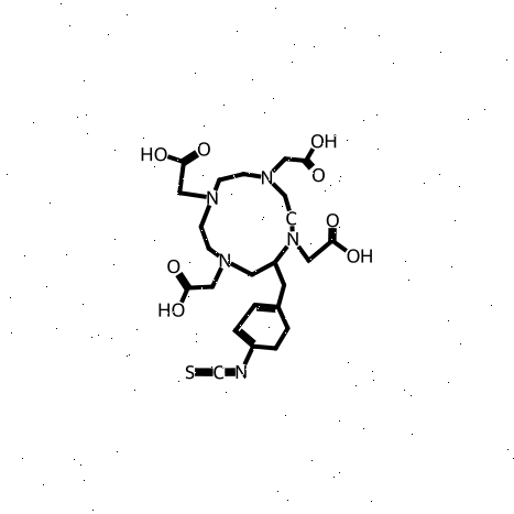 O=C(O)CN1CCN(CC(=O)O)CCN(CC(=O)O)C(CC2=CC=C(N=C=S)CC2)CN(CC(=O)O)CC1